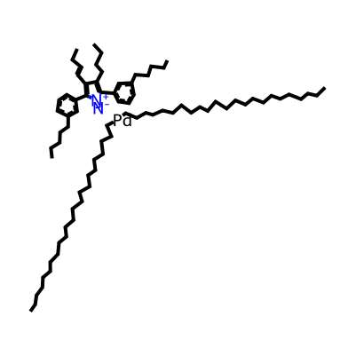 CCC=CC1=C(c2cccc(CCCCC)c2)[N+](=[N-])C(c2cccc(CCCCC)c2)=C1CCCC.CCCCCCCCCCCCCCCCCCCCCC[CH2][Pd][CH2]CCCCCCCCCCCCCCCCCCCCCC